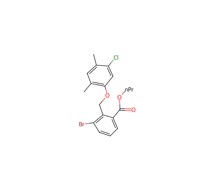 CCCOC(=O)c1cccc(Br)c1COc1cc(Cl)c(C)cc1C